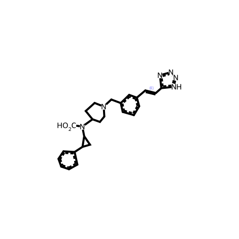 O=C(O)N(C1CCN(Cc2cccc(/C=C/c3nnn[nH]3)c2)CC1)C1CC1c1ccccc1